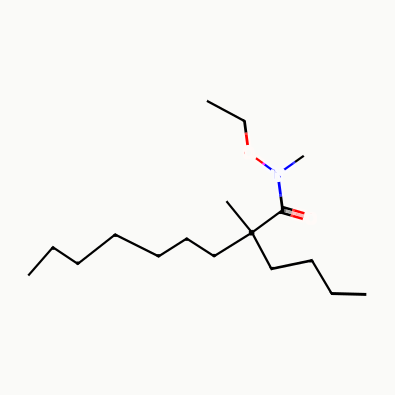 CCCCCCCC(C)(CCCC)C(=O)N(C)OCC